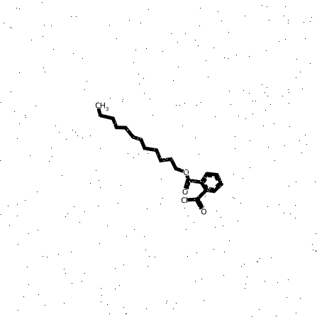 CCCCCCCCCCCCOC(=O)c1ccccc1C(=O)Cl